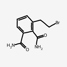 NC(=O)c1cccc(CCBr)c1C(N)=O